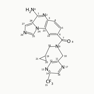 Nc1nc2ccc(C(=O)N(Cc3cnc(C(F)(F)F)cn3)CC3CC3)cc2n2cncc12